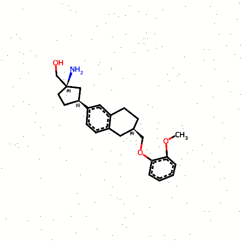 COc1ccccc1OC[C@@H]1CCc2cc([C@H]3CC[C@](N)(CO)C3)ccc2C1